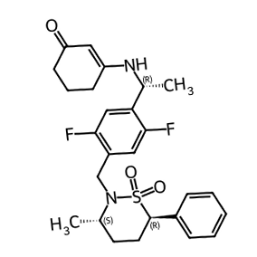 C[C@@H](NC1=CC(=O)CCC1)c1cc(F)c(CN2[C@@H](C)CC[C@H](c3ccccc3)S2(=O)=O)cc1F